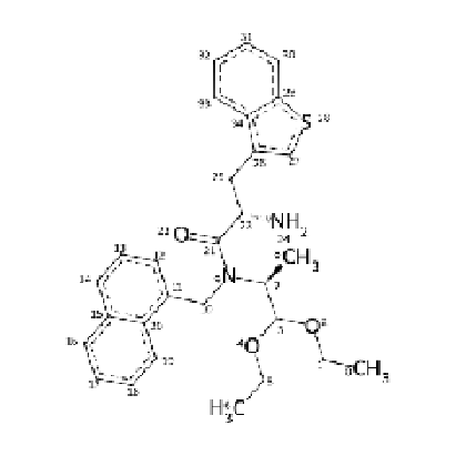 CCOC(OCC)[C@H](C)N(Cc1cccc2ccccc12)C(=O)[C@@H](N)Cc1csc2ccccc12